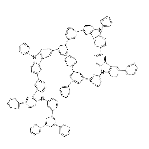 c1ccc(-c2cc(-c3ccccc3)cc(-c3cccc(-n4c5ccc(-c6ccccc6)cc5c5cc(-c6ccc7c(c6)c6cc(-c8cccc(-c9cccc(-c%10ccc%11c(c%10)c%10cc(-c%12ccc%13c(c%12)c%12cc(-c%14ccccc%14)ccc%12n%13-c%12cccc(-c%13cc(-c%14ccccc%14)cc(-c%14ccccc%14)c%13)c%12)ccc%10n%11-c%10ccccc%10)c9)c8)ccc6n7-c6ccccc6)ccc54)c3)c2)cc1